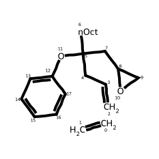 C=C.C=CCC(CCCCCCCC)(CC1CO1)Oc1ccccc1